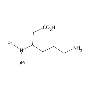 CCN(C(C)C)C(CCCN)CC(=O)O